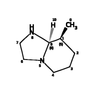 C[C@H]1CCCN2CCN[C@@H]12